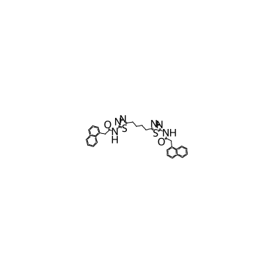 O=C(Cc1cccc2ccccc12)Nc1nnc(CCCCc2nnc(NC(=O)Cc3cccc4ccccc34)s2)s1